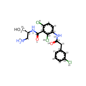 NC[C@H](NC(=O)c1c(Cl)ccc(NC(=O)Cc2cccc(Cl)c2)c1Cl)C(=O)O